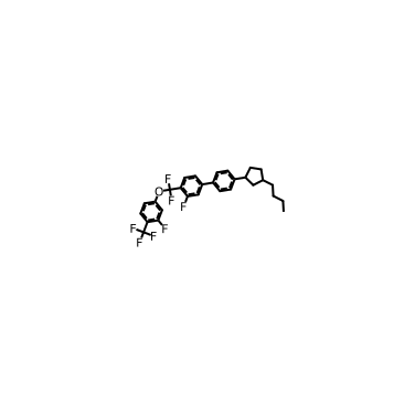 CCCCC1CCC(c2ccc(-c3ccc(C(F)(F)Oc4ccc(C(F)(F)F)c(F)c4)c(F)c3)cc2)C1